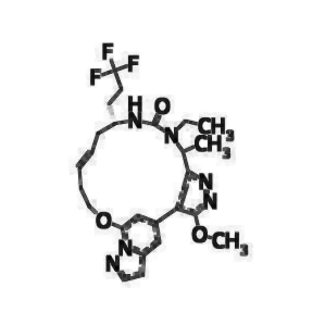 CCN1C(=O)N[C@@H](CCC(F)(F)F)C/C=C/CCOc2cc(cc3ccnn23)-c2cc(nnc2OC)C1C